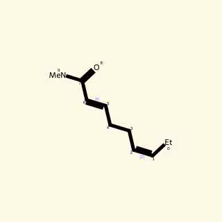 CC/C=C\CC/C=C/C(=O)NC